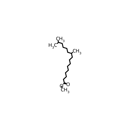 COC(=O)CCCCCCCCC(C)CCCCC(C)C